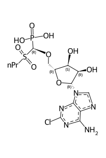 CCCS(=O)(=O)[C@H](OC[C@H]1O[C@@H](n2cnc3c(N)nc(Cl)nc32)[C@H](O)[C@@H]1O)P(=O)(O)O